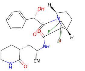 N#C[C@H](C[C@H]1CCCNC1=O)NC(=O)[C@@H]1[C@H]2CC[C@H](CC2(F)F)N1C(=O)[C@@H](O)c1ccccc1